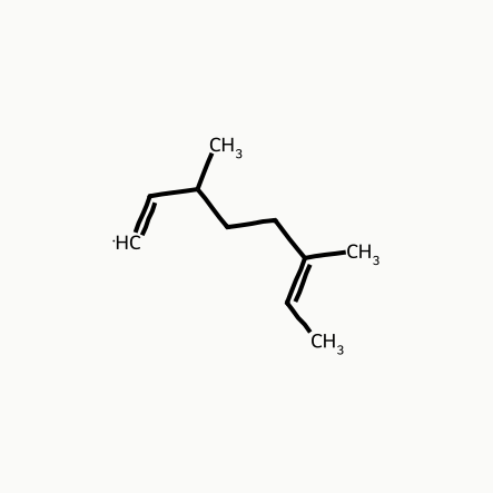 [CH]=CC(C)CCC(C)=CC